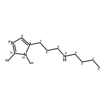 CCCCNCCCc1cnc(C)n1C